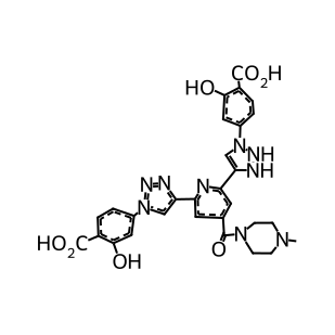 CN1CCN(C(=O)c2cc(C3=CN(c4ccc(C(=O)O)c(O)c4)NN3)nc(-c3cn(-c4ccc(C(=O)O)c(O)c4)nn3)c2)CC1